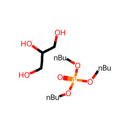 CCCCOP(=O)(OCCCC)OCCCC.OCC(O)CO